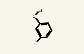 C[CH]Oc1cccc(F)c1